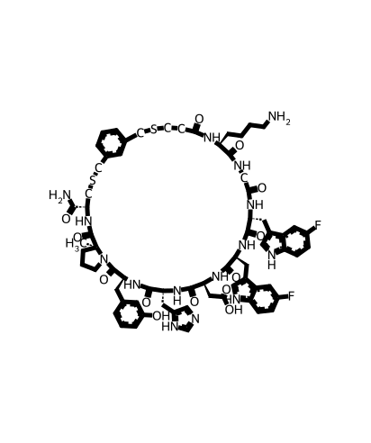 C[C@@]12CCCN1C(=O)[C@H](Cc1cccc(O)c1)NC(=O)[C@@H](Cc1cnc[nH]1)NC(=O)[C@H](CC(=O)O)NC(=O)[C@H](Cc1c[nH]c3ccc(F)cc13)NC(=O)[C@@H](Cc1c[nH]c3ccc(F)cc13)NC(=O)CNC(=O)[C@H](CCCCN)NC(=O)CCSCc1cccc(c1)CSC[C@@H](C(N)=O)NC2=O